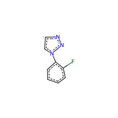 Fc1ccccc1-n1c[c]nn1